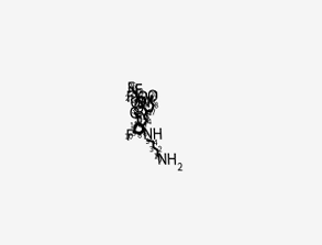 NCCCCCNc1cc(F)cc2c1CN(C1CCC(=O)N(OC(=O)C(F)(F)F)C1=O)C2=O